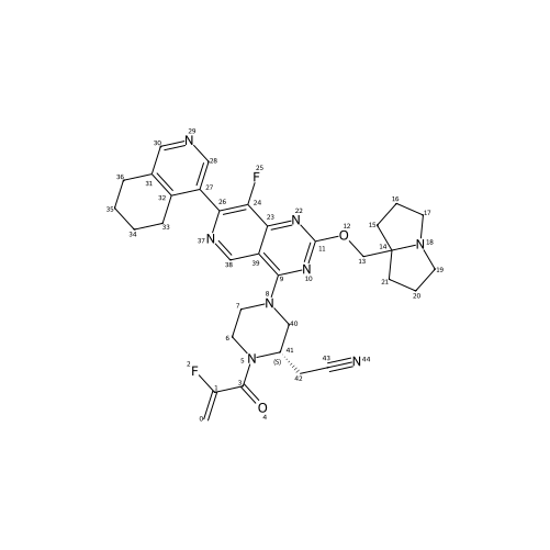 C=C(F)C(=O)N1CCN(c2nc(OCC34CCCN3CCC4)nc3c(F)c(-c4cncc5c4CCCC5)ncc23)C[C@@H]1CC#N